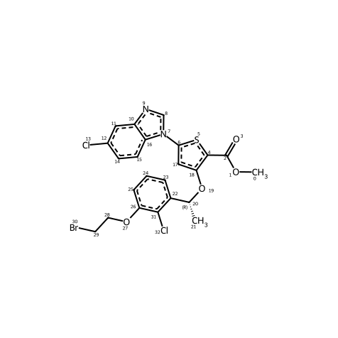 COC(=O)c1sc(-n2cnc3cc(Cl)ccc32)cc1O[C@H](C)c1cccc(OCCBr)c1Cl